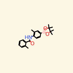 Cc1cc(B2OC(C)(C)C(C)(C)O2)ccc1NC(=O)c1ccccc1C